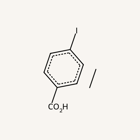 CC.O=C(O)c1ccc(I)cc1